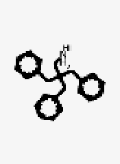 I.NCC(Cc1ccccc1)(Cc1ccccc1)Cc1ccccc1